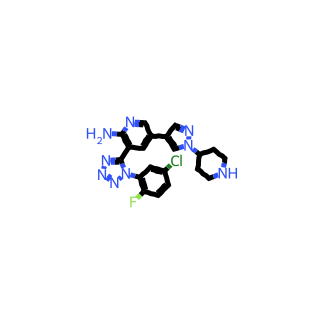 Nc1ncc(-c2cnn(C3CCNCC3)c2)cc1-c1nnnn1-c1cc(Cl)ccc1F